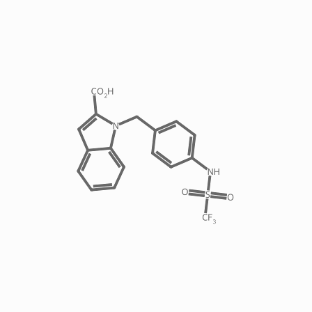 O=C(O)c1cc2ccccc2n1Cc1ccc(NS(=O)(=O)C(F)(F)F)cc1